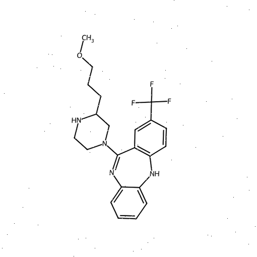 COCCCC1CN(C2=Nc3ccccc3Nc3ccc(C(F)(F)F)cc32)CCN1